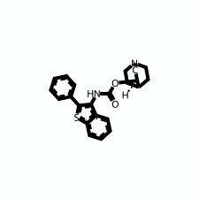 O=C(Nc1c(-c2ccccc2)sc2ccccc12)O[C@H]1CN2CCC1CC2